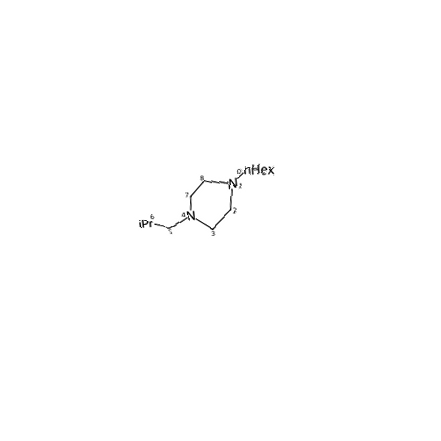 CCCCCCN1CCN(CC(C)C)CC1